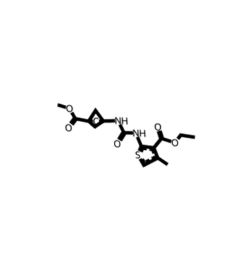 CCOC(=O)c1c(C)csc1NC(=O)NC12CC(C(=O)OC)(C1)C2